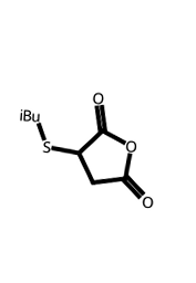 CCC(C)SC1CC(=O)OC1=O